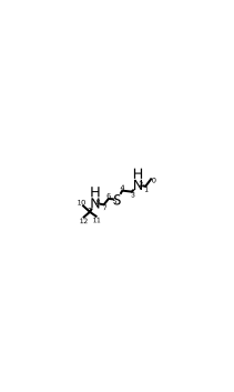 CCNCCSCCNC(C)(C)C